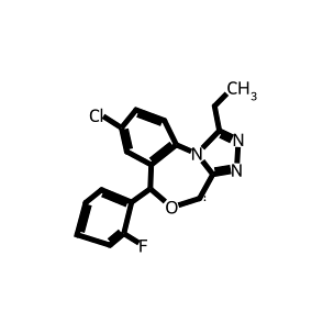 CCc1nnc2n1-c1ccc(Cl)cc1C(c1ccccc1F)O[C]2